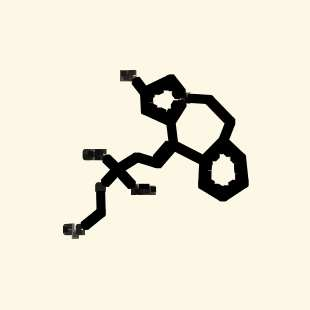 CNC(C=O)(CC=C1c2ccccc2CCn2cc(C#N)cc21)OCC(Cl)(Cl)Cl